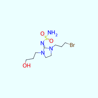 NS(=O)(=O)N=C1N(CCCO)CCN1CCCBr